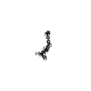 Cn1cnc(-c2ccc(C3=CCN(C(=O)CN4CC[C@]5(CCN(c6ccc7[nH]nc(C8CCOCC8)c7n6)C5=O)C4)CC3)cc2)n1